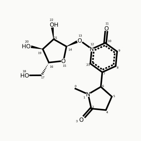 CN1C(=O)CCC1c1ccc(=O)n(O[C@H]2O[C@H](CO)[C@@H](O)[C@H]2O)c1